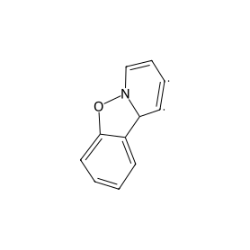 [C]1=[C]C2c3ccccc3ON2C=C1